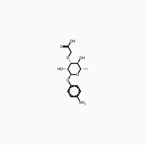 C[C@@H]1O[C@@H](Oc2ccc(N)cc2)[C@H](O)[C@H](OCC(=O)O)[C@H]1O